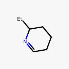 [CH2]CC1CCCC=N1